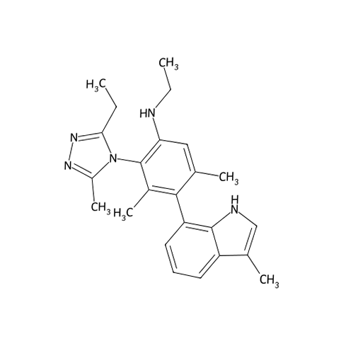 CCNc1cc(C)c(-c2cccc3c(C)c[nH]c23)c(C)c1-n1c(C)nnc1CC